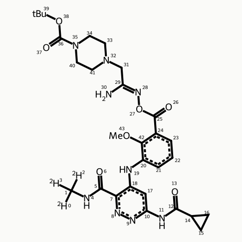 [2H]C([2H])([2H])NC(=O)c1nnc(NC(=O)C2CC2)cc1Nc1cccc(C(=O)O/N=C(\N)CN2CCN(C(=O)OC(C)(C)C)CC2)c1OC